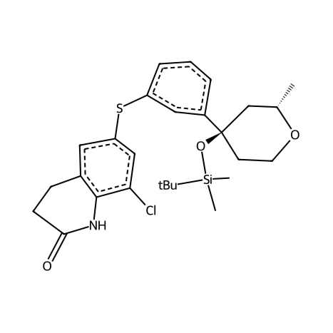 C[C@H]1C[C@@](O[Si](C)(C)C(C)(C)C)(c2cccc(Sc3cc(Cl)c4c(c3)CCC(=O)N4)c2)CCO1